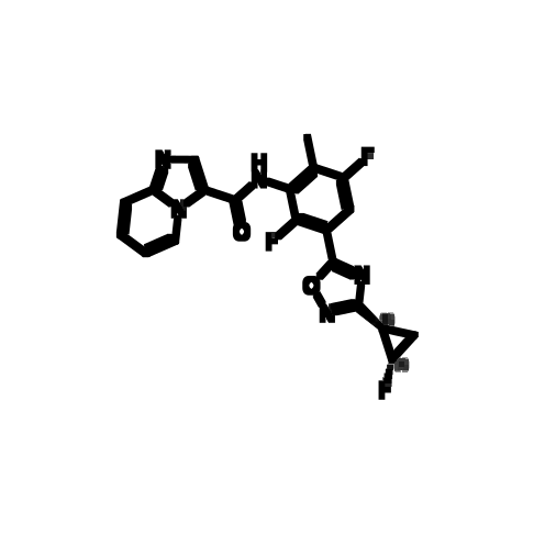 Cc1c(F)cc(-c2nc([C@H]3C[C@@H]3F)no2)c(F)c1NC(=O)c1cnc2ccccn12